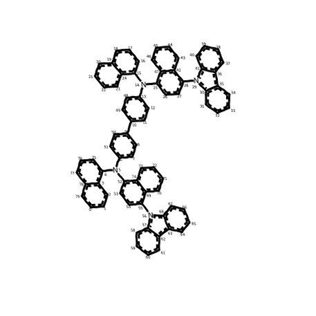 c1ccc2c(N(c3ccc(-c4ccc(N(c5cccc6ccccc56)c5ccc(-n6c7ccccc7c7ccccc76)c6ccccc56)cc4)cc3)c3ccc(-n4c5ccccc5c5ccccc54)c4ccccc34)cccc2c1